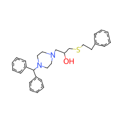 OC(CSCCc1ccccc1)CN1CCN(C(c2ccccc2)c2ccccc2)CC1